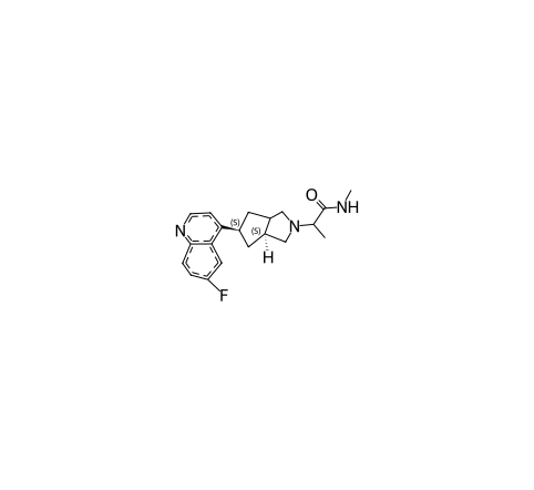 CNC(=O)C(C)N1CC2C[C@H](c3ccnc4ccc(F)cc34)C[C@@H]2C1